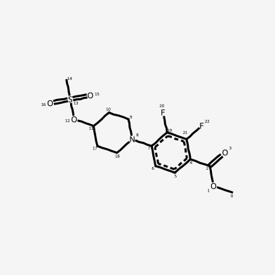 COC(=O)c1ccc(N2CCC(OS(C)(=O)=O)CC2)c(F)c1F